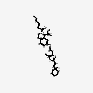 CC=CC=CC(=O)N1CCc2ccc(OCCc3nc(C=CC4(C)CCCCC4)oc3C)cc2C1C(=O)O